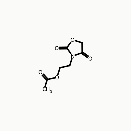 CC(=O)OCCN1C(=O)COC1=O